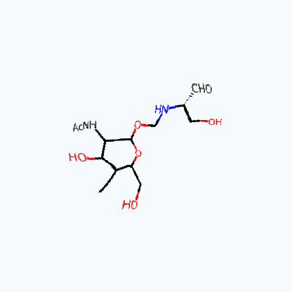 CC(=O)NC1C(OCN[C@H](C=O)CO)OC(CO)C(C)C1O